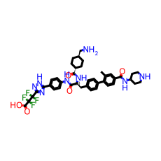 Cc1cc(C(=O)NC2CCNCC2)ccc1-c1ccc(C[C@H](NC(=O)[C@H]2CC[C@H](CN)CC2)C(=O)Nc2ccc(-c3nc(C(F)(F)C(F)(F)C(=O)O)n[nH]3)cc2)cc1